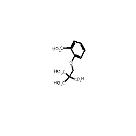 O=C(O)c1ccccc1OCC(C(=O)O)(C(=O)O)C(=O)O